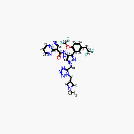 CN1CC(Cn2nnnc2Cn2cc(NC(=O)c3cnn4cccnc34)c(-c3cc(CC(F)F)ccc3OC(F)F)n2)C1